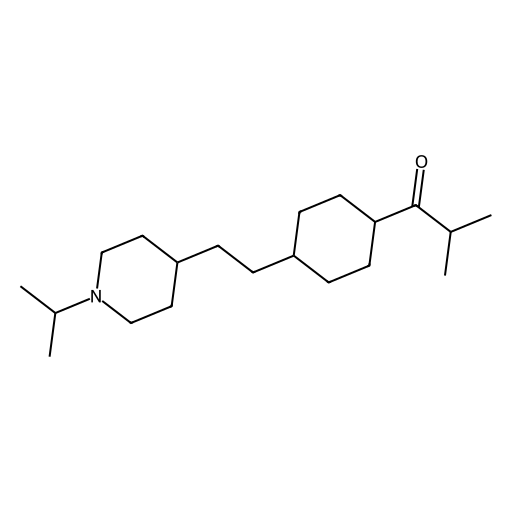 CC(C)C(=O)C1CCC(CCC2CCN(C(C)C)CC2)CC1